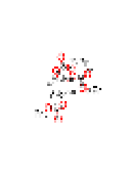 CC(C)OC(=O)OC1CCC(OC(=O)OC(C)C)C(OC(=O)OC(C)C)C1